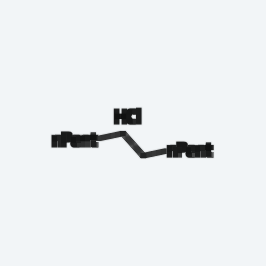 Cl.[CH2]CCCCCCCCCCC